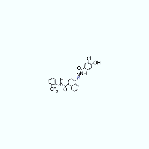 O=C(N/N=C/c1ccc(C(=O)NCc2ccccc2C(F)(F)F)c2ccccc12)c1ccc(O)c(Cl)c1